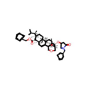 CC(C)[C@@H](C)[C@@]1(C)CC[C@]2(C)[C@H]3CC[C@@H]4C5(COC[C@]4(C)[C@@H](OC4CC(=O)N(Cc6ccccc6)C4)[C@H](C)C5)C3=CC[C@@]2(C)[C@@H]1C(=O)OCc1ccccc1